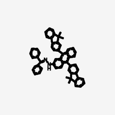 CC1(C)c2ccccc2-c2ccc(-c3c4ccccc4c(-c4ccc5c(c4)C(C)(C)c4ccccc4-5)c4cc(NN=C(c5ccccc5)c5ccccc5)ccc34)cc21